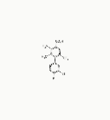 Cc1c(N)c(C(=O)O)cc(C(F)(F)F)c1-c1ccc(F)c(Cl)c1